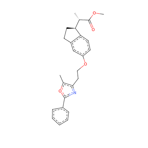 COC(=O)[C@@H](C)[C@@H]1CCc2cc(OCCc3nc(-c4ccccc4)oc3C)ccc21